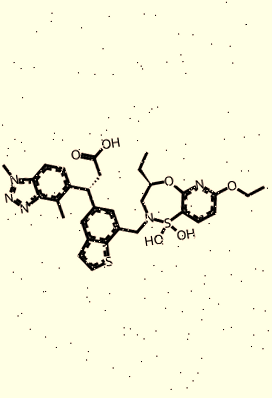 CCOc1ccc2c(n1)O[C@H](CC)CN(Cc1cc([C@@H](CC(=O)O)c3ccc4c(nnn4C)c3C)cc3ccsc13)S2(O)O